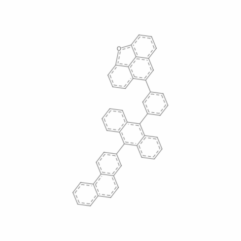 c1cc(-c2c3ccccc3c(-c3ccc4c(ccc5ccccc54)c3)c3ccccc23)cc(-c2cc3cccc4oc5cccc2c5c34)c1